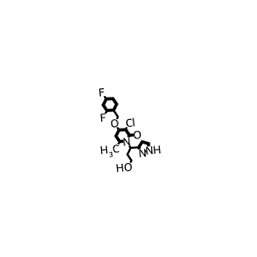 Cc1cc(OCc2ccc(F)cc2F)c(Cl)c(=O)n1C(CCO)c1cc[nH]n1